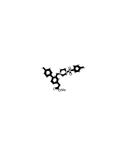 COC(=O)Cc1ccc(-c2ccc(C)cc2)c(CN2CCN(S(=O)(=O)c3ccc(C)cc3)CC2)c1